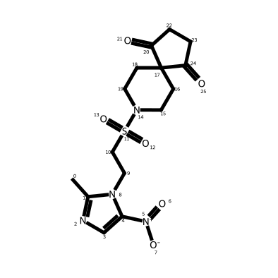 Cc1ncc([N+](=O)[O-])n1CCS(=O)(=O)N1CCC2(CC1)C(=O)CCC2=O